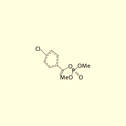 C=C(OP(=O)(OC)OC)c1ccc(Cl)cc1